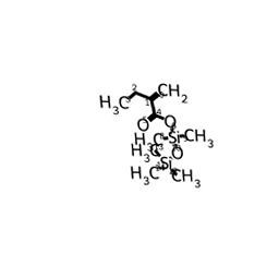 C=C(CC)C(=O)O[Si](C)(C)O[Si](C)(C)C